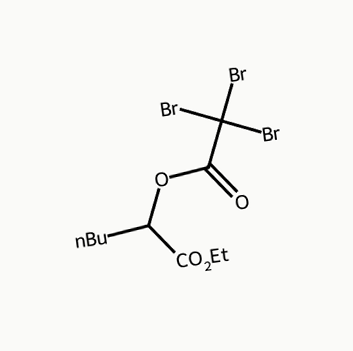 CCCCC(OC(=O)C(Br)(Br)Br)C(=O)OCC